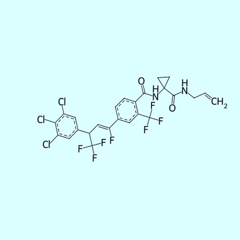 C=CCNC(=O)C1(NC(=O)c2ccc(C(F)=CC(c3cc(Cl)c(Cl)c(Cl)c3)C(F)(F)F)cc2C(F)(F)F)CC1